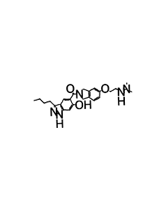 CCCCc1n[nH]c2cc(O)c(C(=O)N3Cc4ccc(OCCNN(C)C)cc4C3)cc12